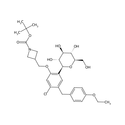 CCOc1ccc(Cc2cc([C@@H]3O[C@H](CO)[C@@H](O)[C@H](O)[C@H]3O)c(OCC3CN(C(=O)OC(C)(C)C)C3)cc2Cl)cc1